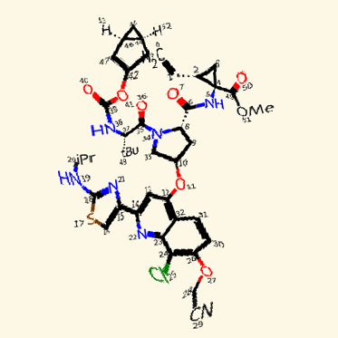 C=C[C@@H]1C[C@]1(NC(=O)[C@@H]1C[C@@H](Oc2cc(-c3csc(NC(C)C)n3)nc3c(Cl)c(OCC#N)ccc23)CN1C(=O)[C@@H](NC(=O)OC1C[C@@H]2C[C@@H]2C1)C(C)(C)C)C(=O)OC